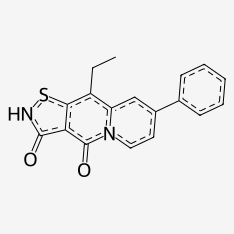 CCc1c2s[nH]c(=O)c2c(=O)n2ccc(-c3ccccc3)cc12